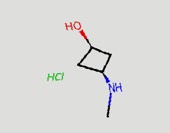 CN[C@H]1C[C@@H](O)C1.Cl